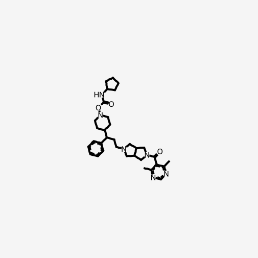 Cc1ncnc(C)c1C(=O)N1CC2CN(CCC(c3ccccc3)C3CCN(OC(=O)NC4CCCC4)CC3)CC2C1